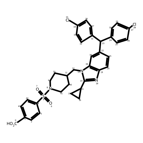 O=C(O)c1ccc(S(=O)(=O)N2CCC(Cn3c(C4CC4)nc4ccc(C(c5ccc(Cl)cc5)c5ccc(Cl)cc5)cc43)CC2)cc1